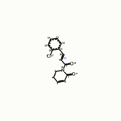 O=C1C=CCCN1C(=O)/C=C/c1ccccc1Cl